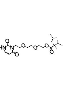 CC(C)CC(C)(C(=O)OCCOCCOCCn1c(=O)cc[nH]c1=O)C(C)C